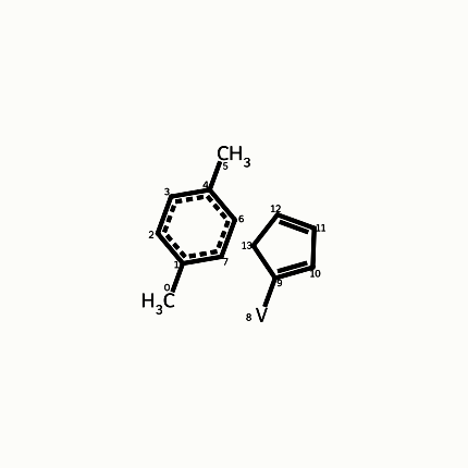 Cc1ccc(C)cc1.[V][C]1=CC=CC1